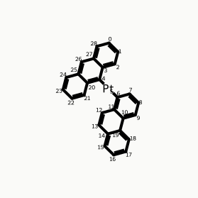 c1ccc2[c]([Pt][c]3cccc4c3ccc3ccccc34)c3ccccc3cc2c1